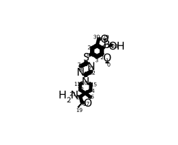 COc1cc(Sc2cnc(N3CCC4(CC3)CO[C@@H](C)[C@H]4N)cn2)cc2c1B(O)OC2